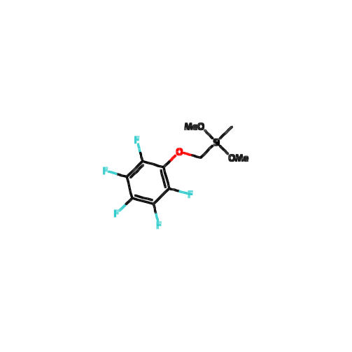 CO[Si](C)(COc1c(F)c(F)c(F)c(F)c1F)OC